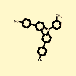 Cc1cccc(-n2c3ccc(-c4ccc(C#N)cc4)cc3c3cc(-c4ccc(C#N)cc4)ccc32)c1